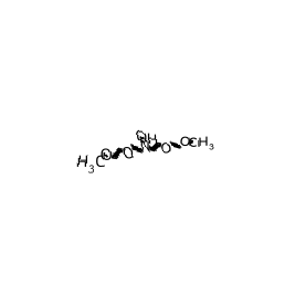 COCCOCCN(O)CCOCCOC